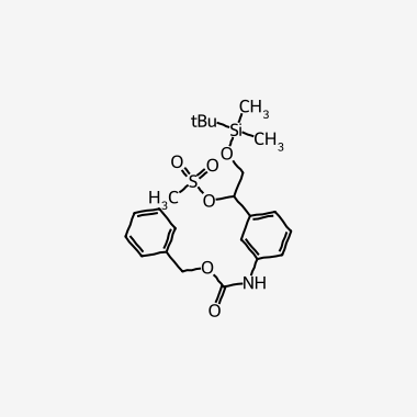 CC(C)(C)[Si](C)(C)OCC(OS(C)(=O)=O)c1cccc(NC(=O)OCc2ccccc2)c1